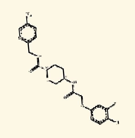 O=C(COc1ccc(Cl)c(F)c1)N[C@@H]1CC[C@@H](C(=O)NCc2ccc(C(F)(F)F)cn2)OC1